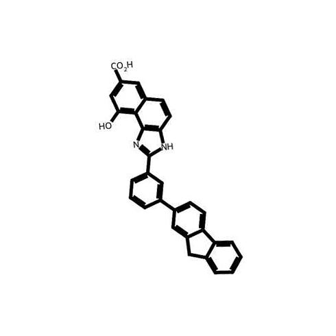 O=C(O)c1cc(O)c2c(ccc3[nH]c(-c4cccc(-c5ccc6c(c5)Cc5ccccc5-6)c4)nc32)c1